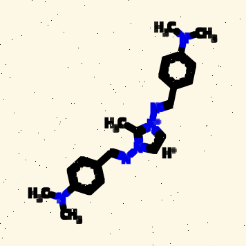 Cc1n(N=Cc2ccc(N(C)C)cc2)cc[n+]1N=Cc1ccc(N(C)C)cc1.[H+]